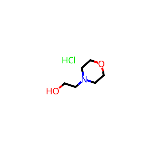 Cl.OCCN1CCOCC1